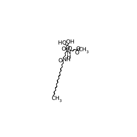 CCC=CCC=CCC=CCC=CCC=CCCCC(=O)NCCCC(NC(=O)C=CC(=O)OC)C(=O)OC(CO)CO